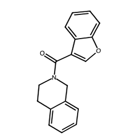 O=C(c1coc2ccccc12)N1CCc2ccccc2C1